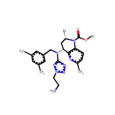 CC[C@H]1C[C@@H](N(Cc2cc(C(F)(F)F)cc(C(F)(F)F)c2)c2nnn(CCN)n2)c2nc(C(F)(F)F)ccc2N1C(=O)OC(C)C